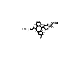 CCOC(=O)CCC1=Cc2cc(Cl)ccc2C(C2CCN(C(=O)OC(C)(C)C)CC2)c2ncccc21